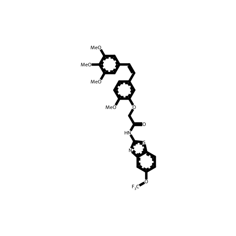 COc1ccc(/C=C\c2cc(OC)c(OC)c(OC)c2)cc1OCC(=O)Nc1nc2cc(OC(F)(F)F)ccc2s1